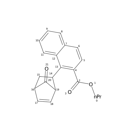 CCCOC(=O)c1ccc2ccccc2c1C1CC2C=CC1C2=O